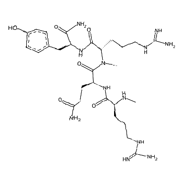 CN[C@@H](CCCNC(=N)N)C(=O)N[C@@H](CCC(N)=O)C(=O)N(C)[C@@H](CCCNC(=N)N)C(=O)N[C@@H](Cc1ccc(O)cc1)C(N)=O